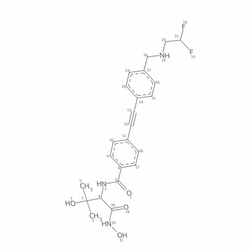 CC(C)(O)C(NC(=O)c1ccc(C#Cc2ccc(CNCC(F)F)cc2)cc1)C(=O)NO